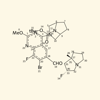 COc1nc(N2CC3CCC(C2)N3C(=O)OC(C)(C)C)c2cc(C=O)c(Br)c(F)c2n1.C[C@@]12CCCN1C[C@H](F)C2